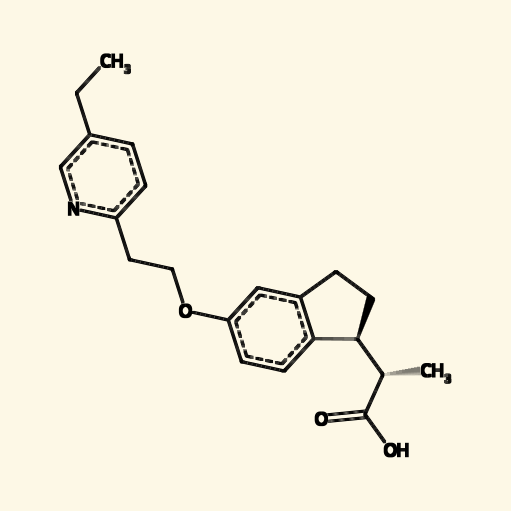 CCc1ccc(CCOc2ccc3c(c2)CC[C@H]3[C@H](C)C(=O)O)nc1